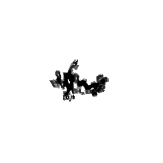 CCC(=O)Oc1cc(C)c(OCCCCC(P(=O)(CC)CC)P(=O)(CC)CC)c(C)c1CCC(=O)O